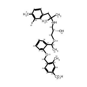 Cc1ccc(CC(C)(C)NC[C@H](O)COC(C)c2ccccc2OCc2ccc(C(=O)O)cc2C)cc1F